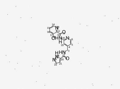 O=C(NCc1ccnc(NC(=O)c2ncccc2O)c1)c1ccn[nH]1